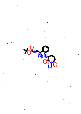 CC(C)(C)OC(=O)/C=C/C(=N)c1ccccc1NC1CCCC(=O)NC1=O